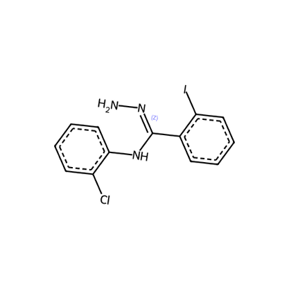 N/N=C(\Nc1ccccc1Cl)c1ccccc1I